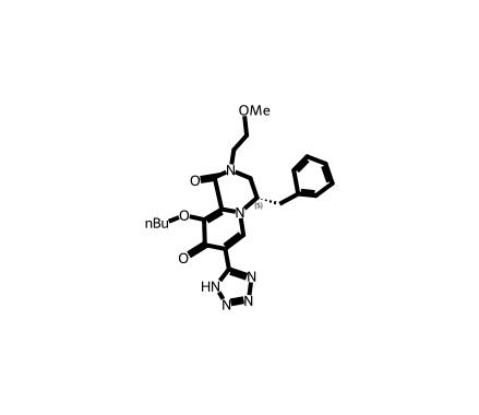 CCCCOc1c2n(cc(-c3nnn[nH]3)c1=O)[C@@H](Cc1ccccc1)CN(CCOC)C2=O